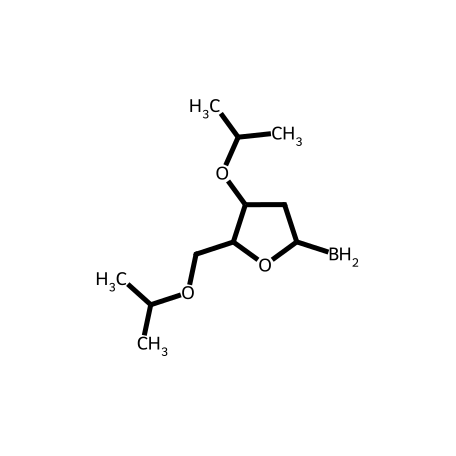 BC1CC(OC(C)C)C(COC(C)C)O1